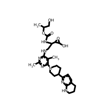 Cc1nc(NCC(NC(=O)OC(C)CO)C2OC2O)c(C)c(N2CCC(c3ccc4c(n3)NCCC4)CC2)n1